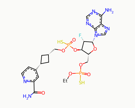 CCOP(=O)(S)OC[C@H]1O[C@@H](n2cnc3c(N)ncnc32)[C@@H](F)[C@@H]1OP(=O)(S)OC[C@H]1C[C@@H](c2ccnc(C(N)=O)c2)C1